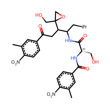 Cc1cc(C(=O)CC(C(CC(C)C)NC(=O)[C@H](CO)NC(=O)c2ccc([N+](=O)[O-])c(C)c2)C2(CO)CO2)ccc1[N+](=O)[O-]